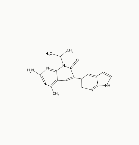 Cc1nc(N)nc2c1cc(-c1cnc3[nH]ccc3c1)c(=O)n2C(C)C